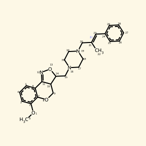 COc1cccc2c1OCC1C2=NOC1CN1CCN(C/C(C)=C/c2ccccc2)CC1